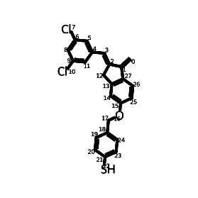 C=C1/C(=C/c2cc(Cl)cc(Cl)c2)Cc2cc(OCc3ccc(S)cc3)ccc21